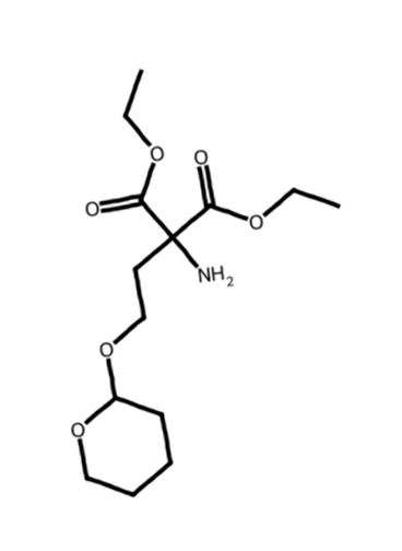 CCOC(=O)C(N)(CCOC1CCCCO1)C(=O)OCC